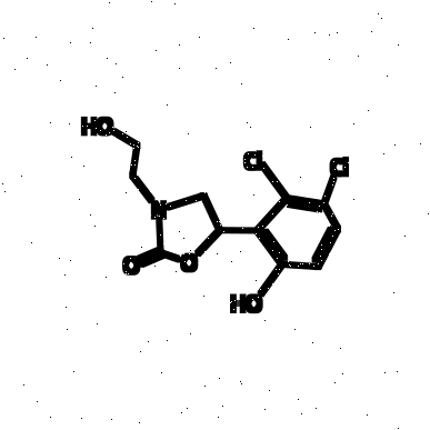 O=C1OC(c2c(O)ccc(Cl)c2Cl)CN1CCO